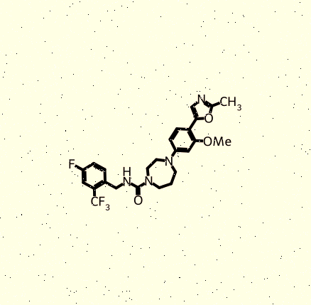 COc1cc(N2CCCN(C(=O)NCc3ccc(F)cc3C(F)(F)F)CC2)ccc1-c1cnc(C)o1